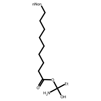 CCCCCCCCCCCCCCCCCC(=O)OC(N)(O)CC